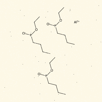 CCCCP([O-])OCC.CCCCP([O-])OCC.CCCCP([O-])OCC.[Al+3]